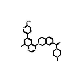 COc1ccc(-c2cc(C)c3ncnc(N4CCc5ccc(C(=O)N6CCN(C)CC6)cc5C4)c3c2)cn1